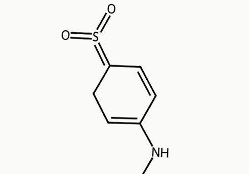 NNC1=CCC(=S(=O)=O)C=C1